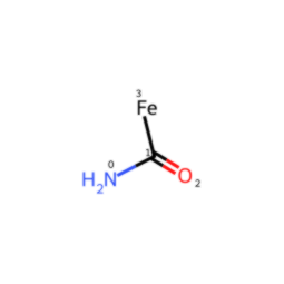 N[C](=O)[Fe]